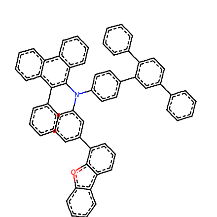 c1ccc(-c2ccc(-c3ccccc3)c(-c3ccc(N(c4cccc(-c5cccc6c5oc5ccccc56)c4)c4c(-c5ccccc5)c5ccccc5c5ccccc45)cc3)c2)cc1